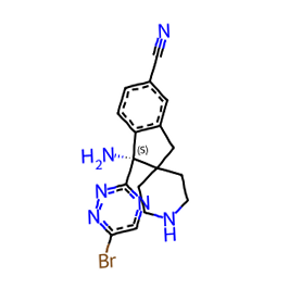 N#Cc1ccc2c(c1)CC1(CCNCC1)[C@@]2(N)c1ncc(Br)nn1